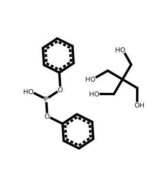 OCC(CO)(CO)CO.OP(Oc1ccccc1)Oc1ccccc1